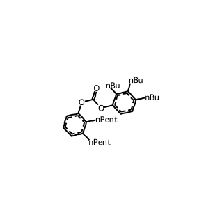 CCCCCc1cccc(OC(=O)Oc2ccc(CCCC)c(CCCC)c2CCCC)c1CCCCC